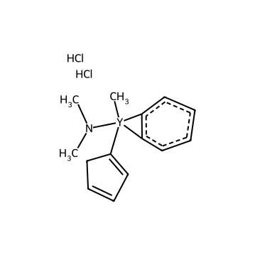 C[N](C)[Y]1([CH3])([C]2=CC=CC2)[c]2cccc[c]21.Cl.Cl